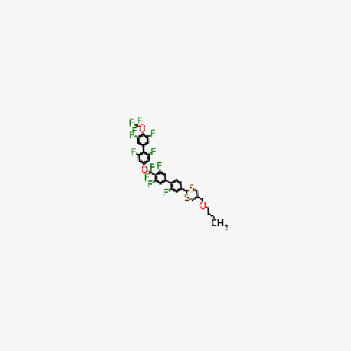 CCCCOCC1CSC(c2ccc(-c3cc(F)c(C(F)(F)Oc4cc(F)c(-c5cc(F)c(OC(F)(F)F)c(F)c5)c(F)c4)c(F)c3)c(F)c2)SC1